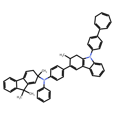 CC1Cc2c(c3ccccc3n2-c2ccc(C3=CCC=CC=C3)cc2)C=C1c1ccc(N(c2ccccc2)C2(C)C=C3C(=CC2)c2ccccc2C3(C)C)cc1